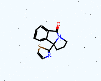 O=C1c2ccccc2C2(c3nccs3)CCCN12